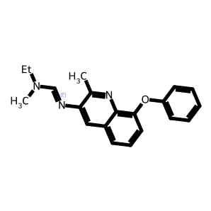 CCN(C)/C=N/c1cc2cccc(Oc3ccccc3)c2nc1C